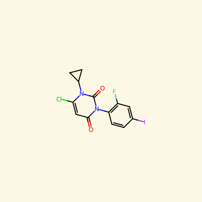 O=c1cc(Cl)n(C2CC2)c(=O)n1-c1ccc(I)cc1F